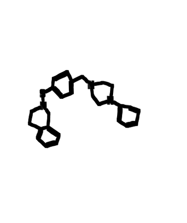 c1ccc(N2CCN(Cc3ccc(SN4CCc5ccccc5C4)cc3)CC2)cc1